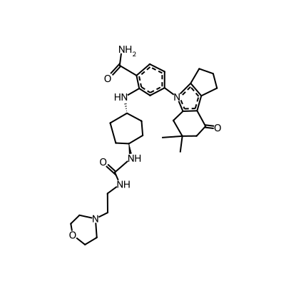 CC1(C)CC(=O)c2c3c(n(-c4ccc(C(N)=O)c(N[C@H]5CC[C@H](NC(=O)NCCN6CCOCC6)CC5)c4)c2C1)CCC3